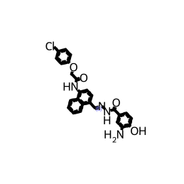 Nc1cc(C(=O)N/N=C/c2ccc(NC(=O)COc3ccc(Cl)cc3)c3ccccc23)ccc1O